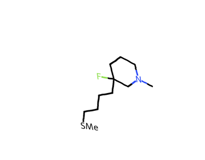 CSCCCCC1(F)CCCN(C)C1